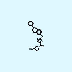 O=C(c1cnc(Oc2ccc3c(c2)CCC(c2ccccc2)O3)s1)N1CCC(O)C1